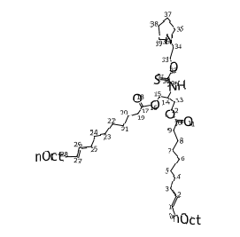 CCCCCCCCC=CCCCCCCCC(=O)OCC(COC(=O)CCCCCCCC=CCCCCCCCC)NC(=S)OCCN1CCCC1